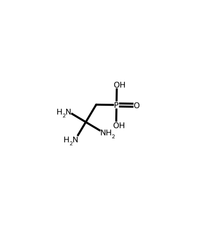 NC(N)(N)CP(=O)(O)O